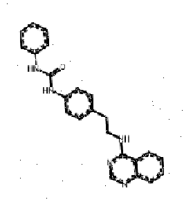 O=C(Nc1ccccc1)Nc1ccc(CCNc2ncnc3ccccc23)cc1